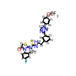 CC(C)c1cc(F)ccc1N1C(=O)CS/C1=N\C(=S)NCCc1cccc(-c2ncn(-c3ccc(OC(F)(F)F)cc3)n2)c1